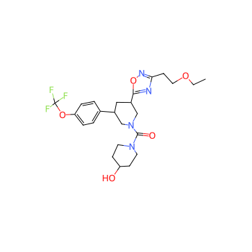 CCOCCc1noc(C2CC(c3ccc(OC(F)(F)F)cc3)CN(C(=O)N3CCC(O)CC3)C2)n1